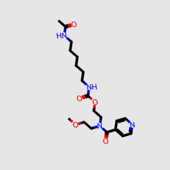 COCCN(CCOC(=O)NCCCCCCNC(C)=O)C(=O)c1ccncc1